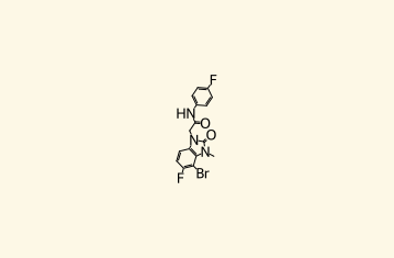 Cn1c(=O)n(CC(=O)Nc2ccc(F)cc2)c2ccc(F)c(Br)c21